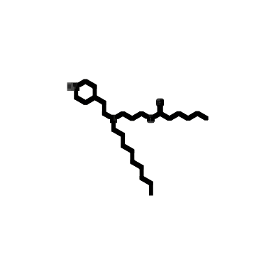 CCCCCCCCCN(CCCOC(=O)CCCCC)CCC1CCNCC1